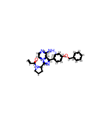 C=CC(=O)N1CCCC1c1nc(-c2ccc(OCc3ccccc3)cc2)c2c(N)nccn12